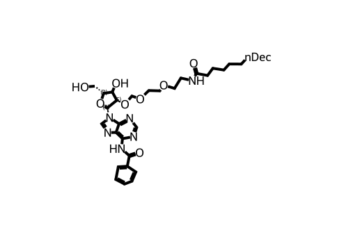 CCCCCCCCCCCCCCCC(=O)NCCOCCOCO[C@H]1C(O)[C@@H](CO)O[C@H]1n1cnc2c(NC(=O)c3ccccc3)ncnc21